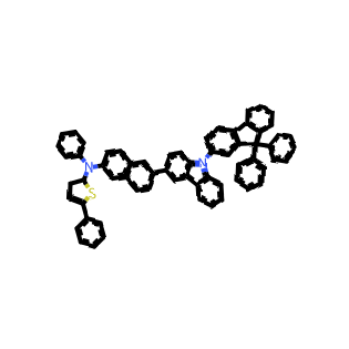 C1=C(c2ccccc2)SC(N(c2ccccc2)c2ccc3cc(-c4ccc5c(c4)c4ccccc4n5-c4ccc5c(c4)C(c4ccccc4)(c4ccccc4)c4ccccc4-5)ccc3c2)C1